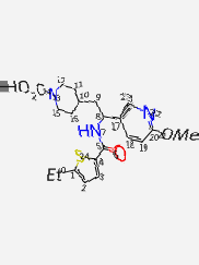 CCc1ccc(C(=O)NC(CC2CCN(C(=O)O)CC2)c2ccc(OC)nc2)s1